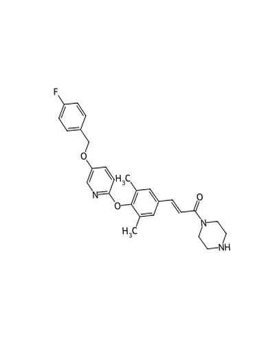 Cc1cc(C=CC(=O)N2CCNCC2)cc(C)c1Oc1ccc(OCc2ccc(F)cc2)cn1